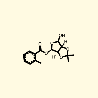 Cc1ccccc1C(=O)O[C@H]1OC(O)[C@@H]2OC(C)(C)O[C@@H]12